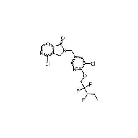 CCC(F)C(F)(F)COc1ncc(CN2Cc3c(ccnc3Cl)C2=O)cc1Cl